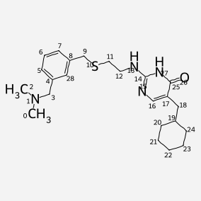 CN(C)Cc1cccc(CSCCNc2ncc(CC3CCCCC3)c(=O)[nH]2)c1